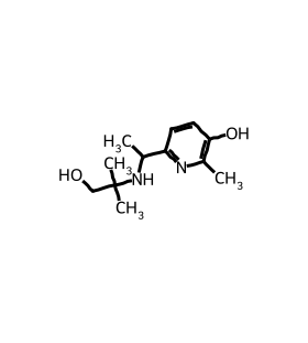 Cc1nc(C(C)NC(C)(C)CO)ccc1O